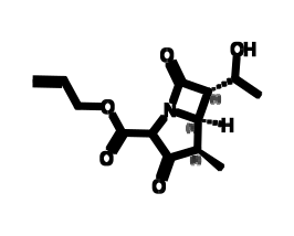 C=CCOC(=O)C1C(=O)[C@H](C)[C@@H]2[C@@H](C(C)O)C(=O)N12